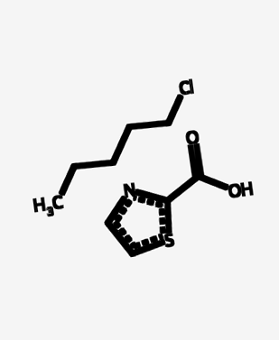 CCCCCCl.O=C(O)c1nccs1